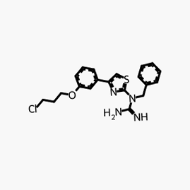 N=C(N)N(Cc1ccccc1)c1nc(-c2cccc(OCCCCl)c2)cs1